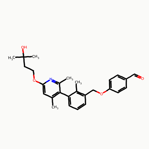 Cc1cc(OCCC(C)(C)O)nc(C)c1-c1cccc(COc2ccc(C=O)cc2)c1C